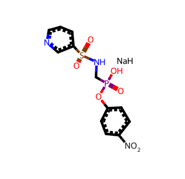 O=[N+]([O-])c1ccc(OP(=O)(O)CNS(=O)(=O)c2cccnc2)cc1.[NaH]